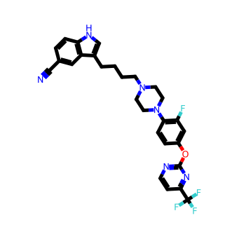 N#Cc1ccc2[nH]cc(CCCCN3CCN(c4ccc(Oc5nccc(C(F)(F)F)n5)cc4F)CC3)c2c1